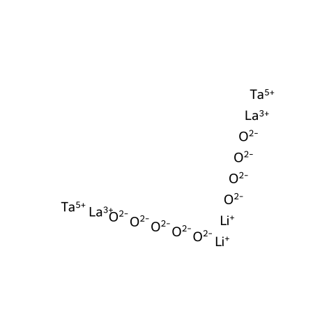 [La+3].[La+3].[Li+].[Li+].[O-2].[O-2].[O-2].[O-2].[O-2].[O-2].[O-2].[O-2].[O-2].[Ta+5].[Ta+5]